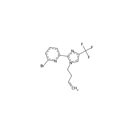 C=CCCn1cc(C(F)(F)F)nc1-c1cccc(Br)n1